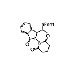 CCCCCC(C)C1c2ccccc2C(=O)N1N1C(=O)CCCC1=O